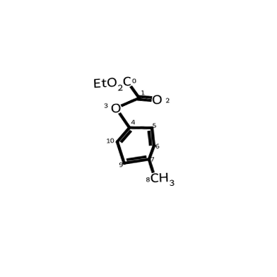 CCOC(=O)C(=O)Oc1ccc(C)cc1